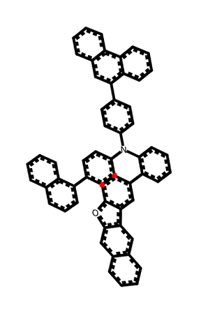 c1ccc(N(c2ccc(-c3cccc4ccccc34)cc2)c2ccc(-c3cc4ccccc4c4ccccc34)cc2)c(-c2ccc3oc4cc5ccccc5cc4c3c2)c1